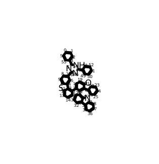 c1ccc(C2=NC(c3ccc4sc5cccc(-c6ccc7oc8cccc(-n9c%10ccccc%10c%10ccccc%109)c8c7c6)c5c4c3)=NC(c3ccccc3)N2)cc1